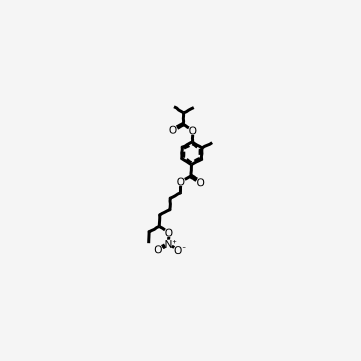 CCC(CCCCOC(=O)c1ccc(OC(=O)C(C)C)c(C)c1)O[N+](=O)[O-]